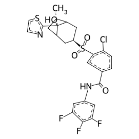 C[C@H]1CC2C[C@H](S(=O)(=O)c3cc(C(=O)Nc4cc(F)c(F)c(F)c4)ccc3Cl)CC1[C@@]2(O)c1nccs1